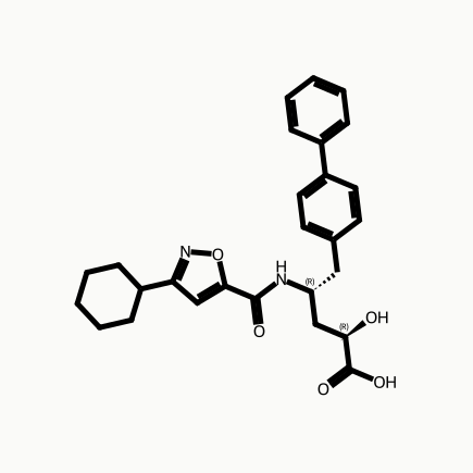 O=C(N[C@H](Cc1ccc(-c2ccccc2)cc1)C[C@@H](O)C(=O)O)c1cc(C2CCCCC2)no1